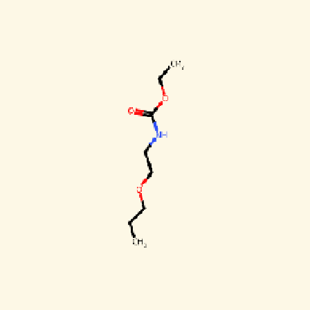 CCCOCCNC(=O)OCC